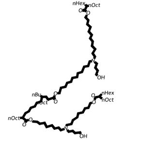 CCCCCCCCC(CCCCCC)C(=O)OCCCCCCCCCCCCN(CCCCO)CCCCCCCCCCCCOC(=O)C(CCCCCCCC)CC(CCCC)CCCCCCC(CCCCCCCC)C(=O)OCCCCCCCCCN(CCCCO)CCCCCCCCCOC(=O)C(CCCCCC)CCCCCCCC